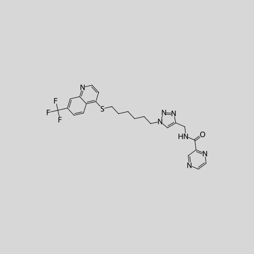 O=C(NCc1cn(CCCCCCSc2ccnc3cc(C(F)(F)F)ccc23)nn1)c1cnccn1